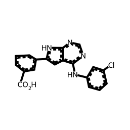 O=C(O)c1cccc(-c2cc3c(Nc4cccc(Cl)c4)ncnc3[nH]2)c1